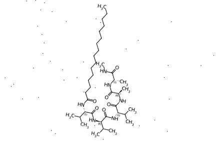 CCCCCCCCCCCCCCCC(=O)N[C@H](C(=O)N[C@@H](C(=O)N[C@H](C(=O)N[C@H](C)C(=O)N[C@@H](C)C(=O)NC)C(C)C)C(C)C)C(C)C